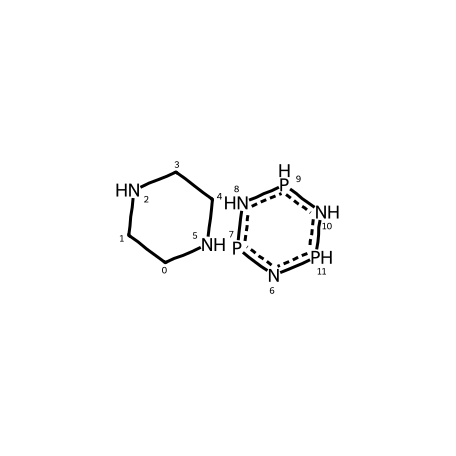 C1CNCCN1.n1p[nH][pH][nH][pH]1